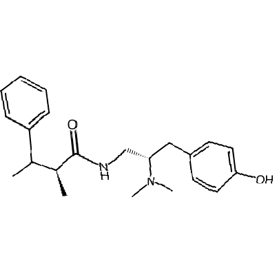 CC(c1ccccc1)[C@H](C)C(=O)NC[C@H](Cc1ccc(O)cc1)N(C)C